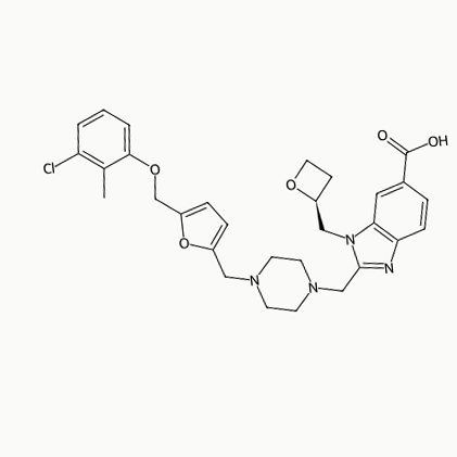 Cc1c(Cl)cccc1OCc1ccc(CN2CCN(Cc3nc4ccc(C(=O)O)cc4n3C[C@@H]3CCO3)CC2)o1